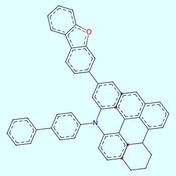 c1ccc(-c2ccc(N(c3cccc(-c4ccc5c(c4)oc4ccccc45)c3)c3ccccc3-c3cccc4cccc(C5CCCCC5)c34)cc2)cc1